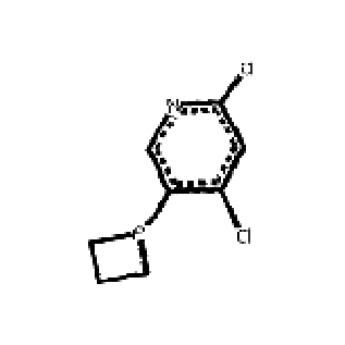 Clc1cc(Cl)c(P2CCC2)cn1